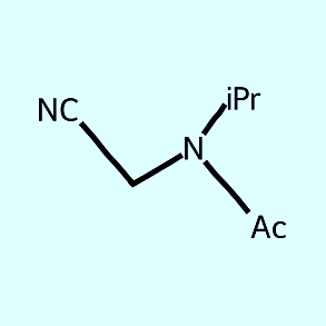 CC(=O)N(CC#N)C(C)C